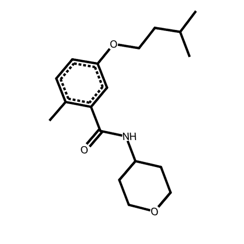 Cc1ccc(OCCC(C)C)cc1C(=O)NC1CCOCC1